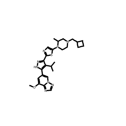 COc1cc(-c2[nH]nc(-c3ncc(N4CCN(CC5CCC5)CC4C)s3)c2C(C)C)cn2ncnc12